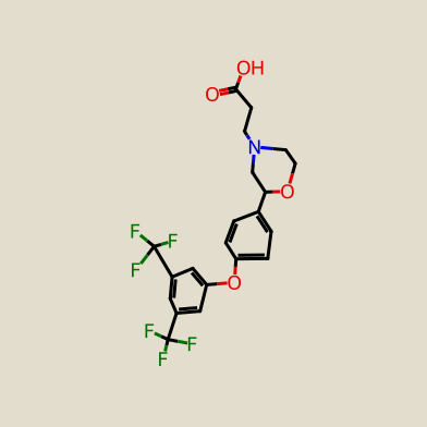 O=C(O)CCN1CCOC(c2ccc(Oc3cc(C(F)(F)F)cc(C(F)(F)F)c3)cc2)C1